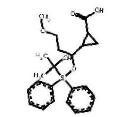 COCCC(O[Si](c1ccccc1)(c1ccccc1)C(C)(C)C)C1CC1C(=O)O